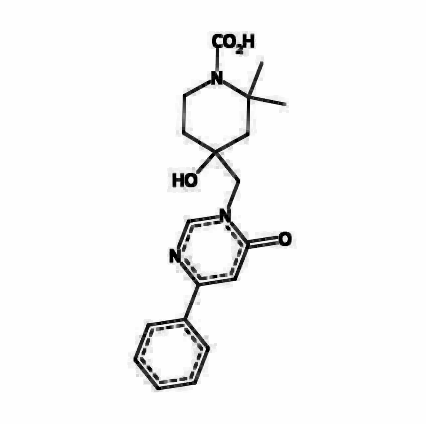 CC1(C)CC(O)(Cn2cnc(-c3ccccc3)cc2=O)CCN1C(=O)O